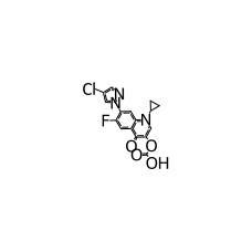 O=C(O)Oc1cn(C2CC2)c2cc(-n3cc(Cl)cn3)c(F)cc2c1=O